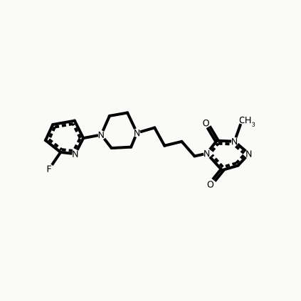 Cn1ncc(=O)n(CCCCN2CCN(c3cccc(F)n3)CC2)c1=O